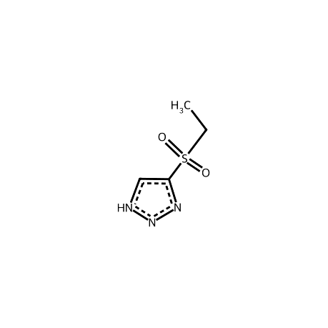 CCS(=O)(=O)c1c[nH]nn1